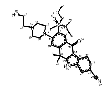 COCS(C)(=O)(c1cc2c(cc1N1CCN(CCO)CC1)C(C)(C)c1[nH]c3cc(C#N)ccc3c1C2=O)N(C)C